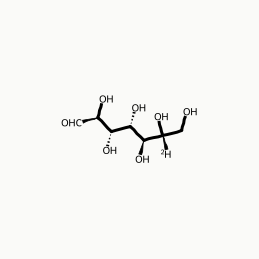 [2H][C@@](O)(CO)[C@@H](O)[C@@H](O)[C@H](O)[C@H](O)C=O